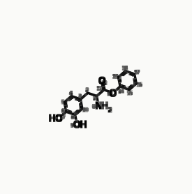 NC(Cc1ccc(O)c(O)c1)C(=O)Oc1ccccc1